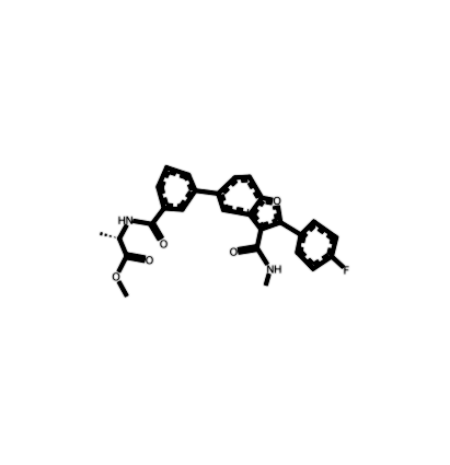 CNC(=O)c1c(-c2ccc(F)cc2)oc2ccc(-c3cccc(C(=O)N[C@@H](C)C(=O)OC)c3)cc12